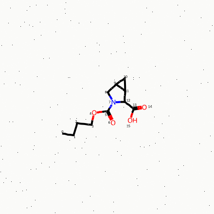 CCCCOC(=O)N1CC2CC2C1C(=O)O